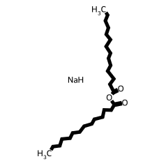 CCCCCCCCCCCCCC(=O)OC(=O)CCCCCCCCCCCCC.[NaH]